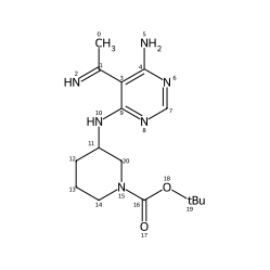 CC(=N)c1c(N)ncnc1NC1CCCN(C(=O)OC(C)(C)C)C1